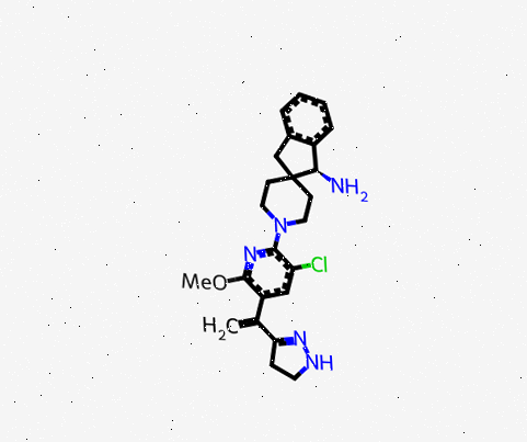 C=C(C1=NNCC1)c1cc(Cl)c(N2CCC3(CC2)Cc2ccccc2[C@H]3N)nc1OC